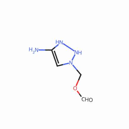 NC1=CN(COC=O)NN1